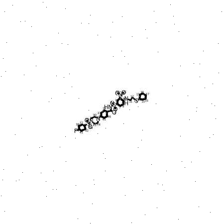 O=C(NS(=O)(=O)c1ccc(NCCSc2ccccc2)c([N+](=O)[O-])c1)c1ccc(N2CCN(S(=O)(=O)c3ccc(F)cc3)CC2)cc1